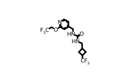 O=C(NCc1ccnc(OCC(F)(F)F)c1)NCC1CC(C(F)(F)F)C1